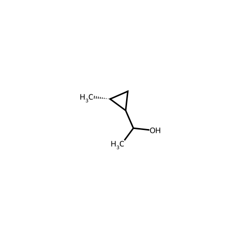 CC(O)C1C[C@H]1C